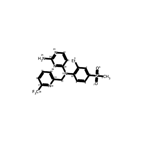 CCc1cc(S(C)(=O)=O)ccc1N(Cc1cccc(C(F)(F)F)n1)c1ccnc(N)n1